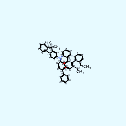 CCc1ccccc1-c1c(CC)cccc1-c1ccccc1N(c1ccc(-c2ccccc2)cc1)c1ccc2c(c1)C(C)(C)c1ccccc1-2